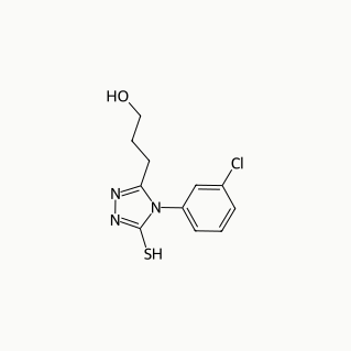 OCCCc1nnc(S)n1-c1cccc(Cl)c1